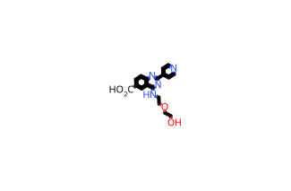 O=C(O)c1ccc2nc(-c3ccncc3)nc(NCCOCCO)c2c1